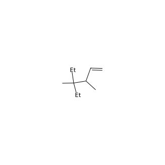 C=CC(C)C(C)(CC)CC